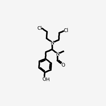 CN(C=O)C(Cc1ccc(O)cc1)N(CCCl)CCCl